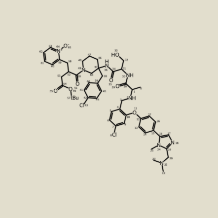 CC(NCc1ccc(Cl)cc1Oc1ccc(-c2cnc(CN(C)C)n2C)cc1)C(=O)NC(CO)C(=O)NC1(Cc2ccc(Cl)cc2)CCCN(C(=O)C(CC(=O)OC(C)(C)C)Cc2cccc[n+]2[O-])C1